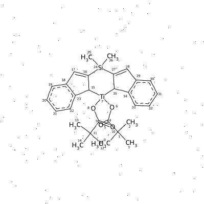 CC(C)(C)C(=O)[O][Ti]1([O]C(=O)C(C)(C)C)[CH]2C(=Cc3ccccc32)[Si](C)(C)C2=Cc3ccccc3[CH]21